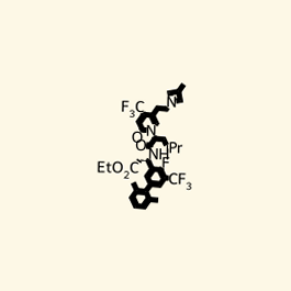 CCOC(=O)C[C@H](NC(=O)C(CC(C)C)n1cc(CCN2CC(C)C2)c(C(F)(F)F)cc1=O)c1cc(-c2c(C)cccc2C)cc(C(F)(F)F)c1F